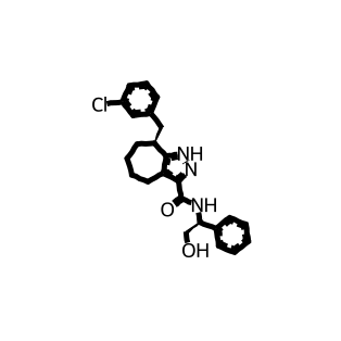 O=C(N[C@H](CO)c1ccccc1)c1n[nH]c2c1CCCC[C@H]2Cc1cccc(Cl)c1